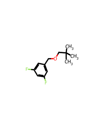 CC(C)(C)COCc1cc(F)cc(F)c1